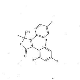 CC1(O)OC(=O)C(c2c(F)cc(F)cc2F)=C1c1ccc(F)cc1